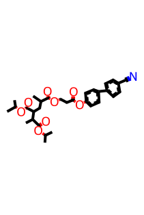 CC(C)OC(=O)C(C)C(CC(C)C(=O)OCCC(=O)Oc1ccc(-c2ccc(C#N)cc2)cc1)C(=O)OC(C)C